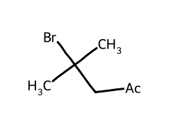 CC(=O)CC(C)(C)Br